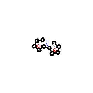 c1ccc(-c2cccc(-c3cccc4c3oc3c(-c5ccc6[nH]c7ccc(-c8cccc9c8oc8c(-c%10cccc(-c%11ccccc%11)c%10)cccc89)cc7c6c5)cccc34)c2)cc1